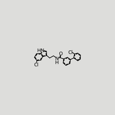 O=C(NCCc1c[nH]c2ccc(Cl)cc12)c1cccc(-c2ccccc2Cl)c1